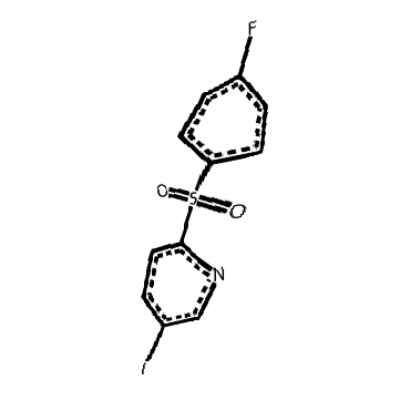 O=S(=O)(c1ccc(F)cc1)c1ccc(I)cn1